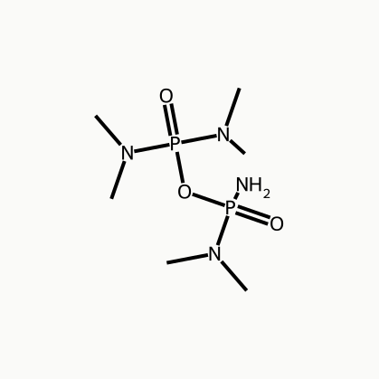 CN(C)P(N)(=O)OP(=O)(N(C)C)N(C)C